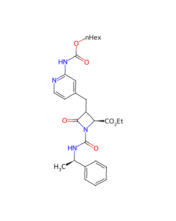 CCCCCCOC(=O)Nc1cc(CC2C(=O)N(C(=O)N[C@H](C)c3ccccc3)[C@@H]2C(=O)OCC)ccn1